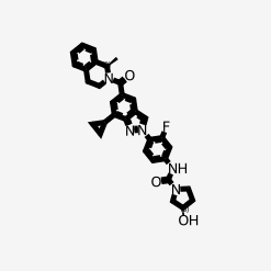 C[C@@H]1c2ccccc2CCN1C(=O)c1cc(C2CC2)c2nn(-c3ccc(NC(=O)N4CC[C@H](O)C4)cc3F)cc2c1